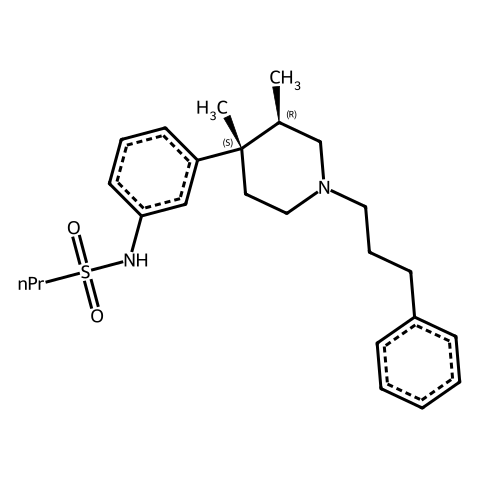 CCCS(=O)(=O)Nc1cccc([C@@]2(C)CCN(CCCc3ccccc3)C[C@@H]2C)c1